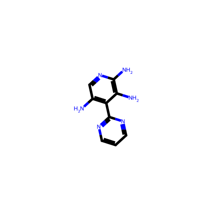 Nc1cnc(N)c(N)c1-c1ncccn1